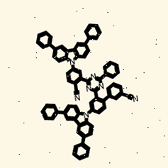 N#Cc1cccc(-c2ccc(-n3c4ccc(-c5ccccc5)cc4c4cc(-c5ccccc5)ccc43)cc2-c2nc(-c3ccccc3)nc(-c3cc(-n4c5ccc(-c6ccccc6)cc5c5cc(-c6ccccc6)ccc54)ccc3C#N)n2)c1